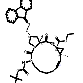 CCOC(=O)[C@@]12C[C@H]1/C=C\CCCCN(NC(=O)OC(C)(C)C)C(=O)N1C[C@H](ON=C3c4ccccc4-c4ccccc43)C[C@H]1C(=O)N2